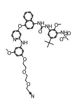 COc1cc(Nc2cc(Oc3ccc(NC(=O)Nc4cc(C(C)(C)C)cc(NS(C)(=O)=O)c4OC)c4ccccc34)ccn2)cc(OCCOCCOCC#N)c1